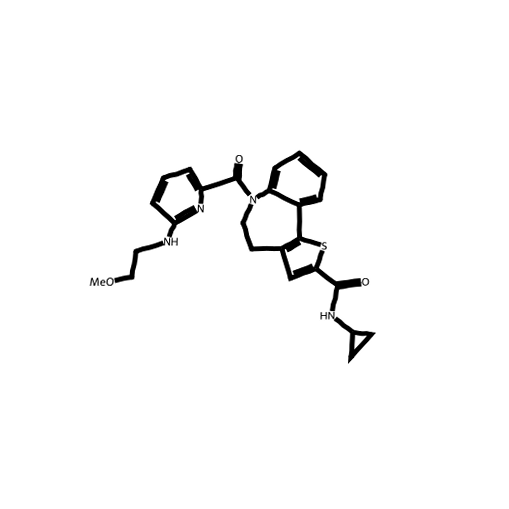 COCCNc1cccc(C(=O)N2CCc3cc(C(=O)NC4CC4)sc3-c3ccccc32)n1